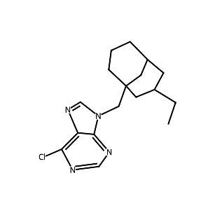 CCC1CC2CCCC(Cn3cnc4c(Cl)ncnc43)(C1)C2